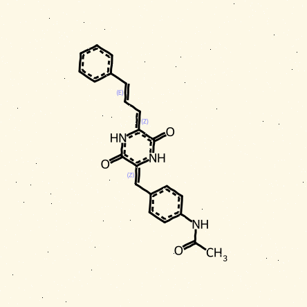 CC(=O)Nc1ccc(/C=c2\[nH]c(=O)/c(=C/C=C/c3ccccc3)[nH]c2=O)cc1